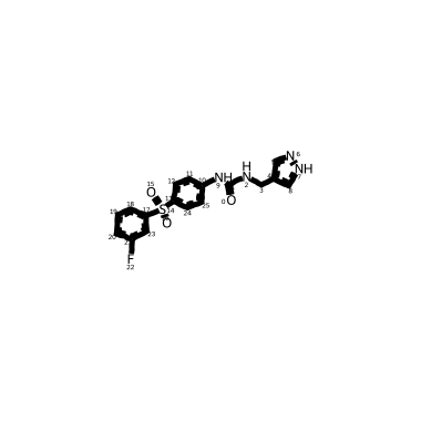 O=C(NCc1cn[nH]c1)Nc1ccc(S(=O)(=O)c2cccc(F)c2)cc1